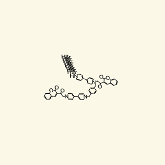 Br.Br.Br.Br.Br.Br.Br.Br.O=C(CN1C=CC(C2=CCN(Cc3ccc(C[N+]4(CC(=O)c5cc6ccccc6oc5=O)C=CC(C5=CCNC=C5)=CC4)cc3)C=C2)=CC1)c1cc2ccccc2oc1=O